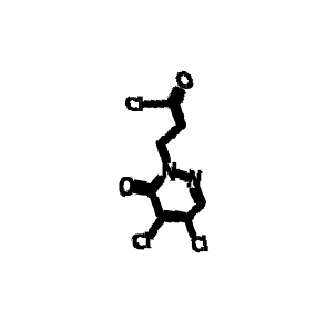 O=C(Cl)CCn1ncc(Cl)c(Cl)c1=O